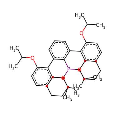 CC(C)Oc1cccc(OC(C)C)c1-c1cccc(-c2c(OC(C)C)cccc2OC(C)C)c1P(C1CCCCC1)C1CCCCC1